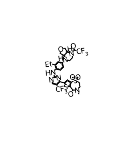 CCc1cc(N2CCN(C(=O)C(F)(F)F)[C@H]3COC[C@H]32)ccc1Nc1ncc(C(F)(F)F)c(-c2cc3c(s2)C(=O)N(C)CCS3(=O)=O)n1